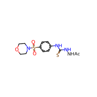 CC(=O)NNC(=S)Nc1ccc(S(=O)(=O)N2CCOCC2)cc1